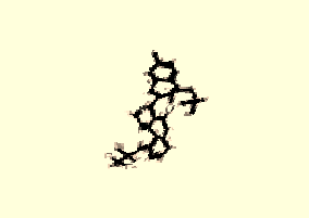 Cc1ccc2c(CC(C)(C)C)c3c(cc2c1)-c1nccc2c1c(cc1cccc(CC(C)(C)C(F)(F)F)c12)O3